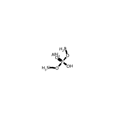 BOP(=O)(O)O[SiH3].[AlH3]